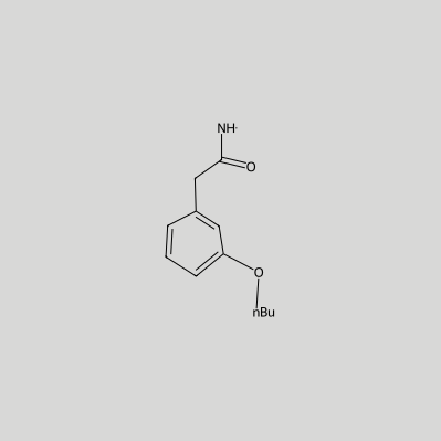 CCCCOc1cccc(CC([NH])=O)c1